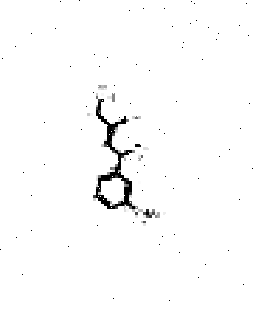 COc1cccc(C(C)/C=C(\F)CO)c1